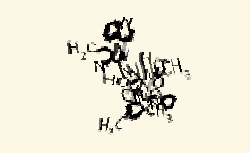 C=CCc1c(C#N)c(N=Nc2c(O)nc(N(c3nc4ccccc4o3)c3c(C)cc(C)cc3C)nc2NC(=O)OC)nn1-c1ccnc2ccccc12